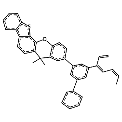 C=C/C(=C\C=C/C)c1cc(-c2ccccc2)cc(-c2ccc3c(c2)C(C)(C)c2ccc4c(sc5ccccc54)c2O3)c1